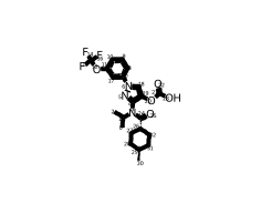 CC(C)N(c1nn(-c2cccc(OC(F)(F)F)c2)cc1OC(=O)O)C(=O)[C@H]1CC[C@H](C)CC1